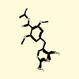 COc1cc(Cc2cnc(N)nc2N)cc(OC)c1C(=O)OC(C)C